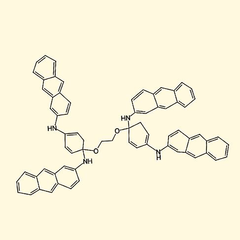 C1=CC(Nc2ccc3cc4ccccc4cc3c2)(OCCOC2(Nc3ccc4cc5ccccc5cc4c3)C=CC(Nc3ccc4cc5ccccc5cc4c3)=CC2)CC=C1Nc1ccc2cc3ccccc3cc2c1